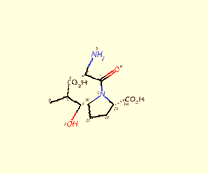 CC(CO)C(=O)O.NCC(=O)N1CCC[C@H]1C(=O)O